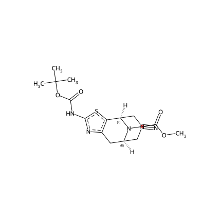 COC(=O)N1C[C@H]2Cc3nc(NC(=O)OC(C)(C)C)sc3[C@@H](C1)N2C#N